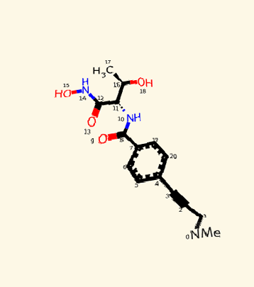 CNCC#Cc1ccc(C(=O)N[C@H](C(=O)NO)[C@@H](C)O)cc1